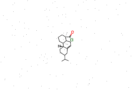 CC(C)C1CC[C@H]2C(=CCC3[C@](C)(C(=O)Cl)CCC[C@@]32C)C1